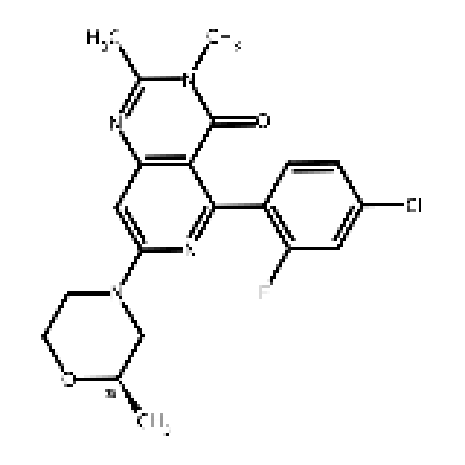 Cc1nc2cc(N3CCO[C@H](C)C3)nc(-c3ccc(Cl)cc3F)c2c(=O)n1C